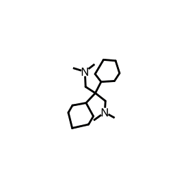 CN(C)CC(CN(C)C)(C1CCCCC1)C1CCCCC1